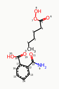 CCCCCC(=O)OO.NC(=O)c1ccccc1C(=O)O